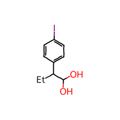 CCC(c1ccc(I)cc1)C(O)O